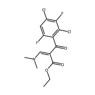 CCOC(=O)C(=CN(C)C)C(=O)c1c(F)cc(Cl)c(F)c1Cl